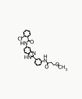 COCCC(=O)Nc1cccc(-c2nc3cc(NC(=O)c4ccccc4Cl)ccc3[nH]2)c1